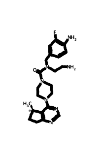 C[C@@H]1CCc2ncnc(N3CCN(C(=O)N(CCN)Cc4ccc(N)c(F)c4)CC3)c21